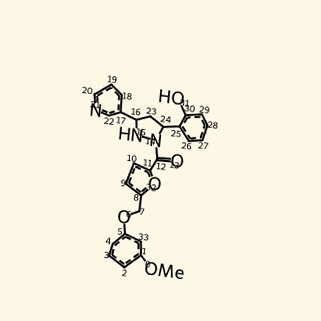 COc1cccc(OCc2ccc(C(=O)N3NC(c4cccnc4)CC3c3ccccc3O)o2)c1